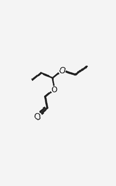 CCOC(CC)OCC=O